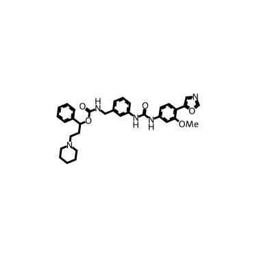 COc1cc(NC(=O)Nc2cccc(CNC(=O)OC(CCN3CCCCC3)c3ccccc3)c2)ccc1-c1cnco1